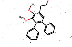 COc1c(CCO)[c]c(-c2ccccc2)c(-c2ccccc2)c1OC